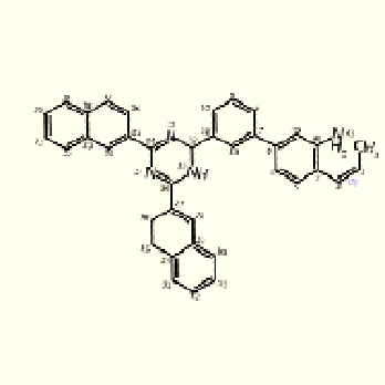 C/C=C\c1ccc(-c2cccc(C3N=C(c4ccc5ccccc5c4)N=C(C4=Cc5ccccc5CC4)N3)c2)cc1N